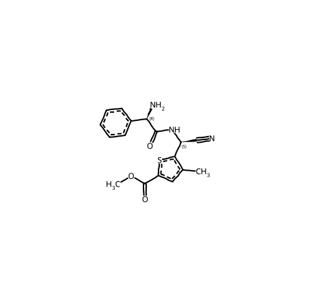 COC(=O)c1cc(C)c([C@H](C#N)NC(=O)[C@H](N)c2ccccc2)s1